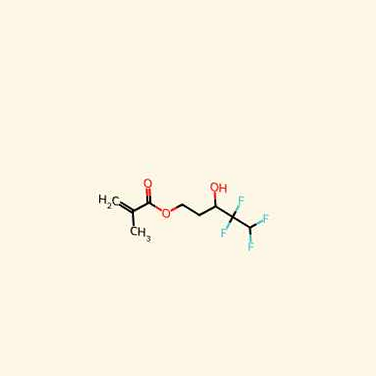 C=C(C)C(=O)OCCC(O)C(F)(F)C(F)F